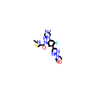 Cc1nc(C(=O)Nc2cc(-c3cnc(N4CCOCC4)nc3)c(F)cc2N2CCN(C)[C@@H](C)C2)cs1